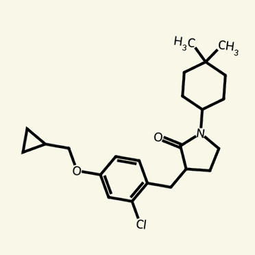 CC1(C)CCC(N2CCC(Cc3ccc(OCC4CC4)cc3Cl)C2=O)CC1